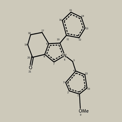 COc1ccc(Cn2cc3c(c2-c2ccccc2)CCCC3=O)cc1